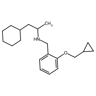 CC(CC1CCCCC1)NCc1ccccc1OCC1CC1